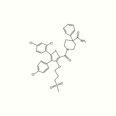 CS(=O)(=O)CCCOc1c(C(=O)N2CCC(C(N)=O)(c3ccccc3)CC2)sc(-c2ccc(Cl)cc2Cl)c1-c1ccc(Cl)cc1